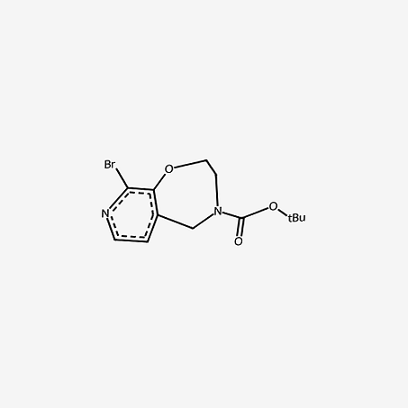 CC(C)(C)OC(=O)N1CCOc2c(ccnc2Br)C1